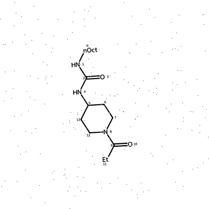 CCCCCCCCNC(=O)NC1CCN(C(=O)CC)CC1